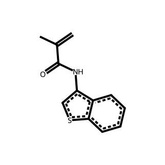 C=C(C)C(=O)Nc1csc2ccccc12